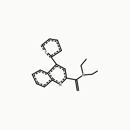 C=C(c1cc(-c2ccccc2)c2ccccc2n1)N(CC)CC